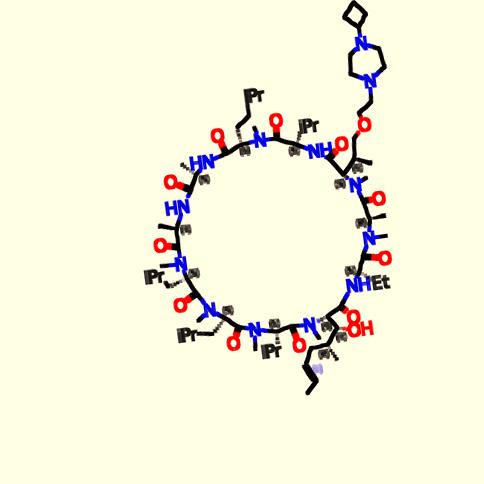 C/C=C/C[C@@H](C)[C@@H](O)[C@H]1C(=O)N[C@@H](CC)C(=O)N(C)[C@H](C)C(=O)N(C)[C@@H]([C@H](C)COCCN2CCN(C3CCC3)CC2)C(=O)N[C@@H](C(C)C)C(=O)N(C)[C@@H](CCC(C)C)C(=O)N[C@@H](C)C(=O)N[C@H](C)C(=O)N(C)[C@@H](CC(C)C)C(=O)N(C)[C@@H](CC(C)C)C(=O)N(C)[C@@H](C(C)C)C(=O)N1C